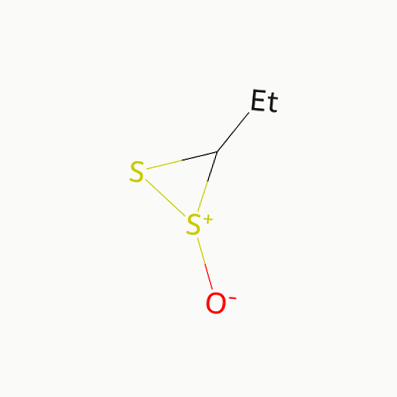 CCC1S[S+]1[O-]